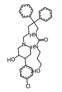 O=C(NCCCO)NCC(CCCN1CCC(c2ccc(Cl)cc2)C(O)C1)(c1ccccc1)c1ccccc1